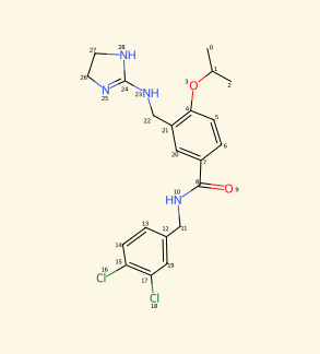 CC(C)Oc1ccc(C(=O)NCc2ccc(Cl)c(Cl)c2)cc1CNC1=NCCN1